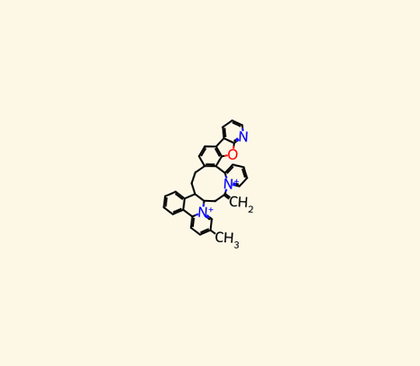 C=C1CC2C(CCc3ccc4c(oc5ncccc54)c3-c3cccc[n+]31)c1ccccc1-c1ccc(C)c[n+]12